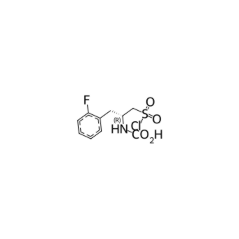 O=C(O)N[C@H](Cc1ccccc1F)CS(=O)(=O)Cl